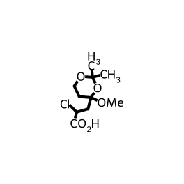 COC1(CC(Cl)C(=O)O)CCOC(C)(C)O1